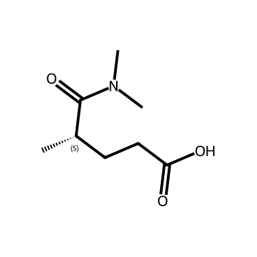 C[C@@H](CCC(=O)O)C(=O)N(C)C